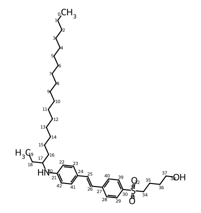 CCCCCCCCCCCCCCCCCC(CC)Nc1ccc(C=Cc2ccc(S(=O)(=O)CCCCO)cc2)cc1